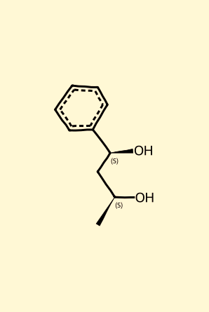 C[C@H](O)C[C@H](O)c1ccccc1